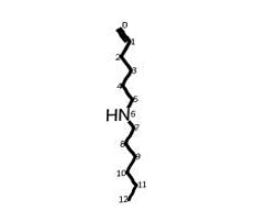 C=CCCCCNCCCCCC